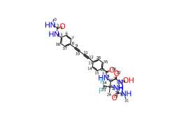 CNC(=O)Nc1ccc(C#CC#Cc2ccc(C(=O)NC(C(=O)NO)C(C)(NC(=O)NC)C(F)F)cc2)cc1